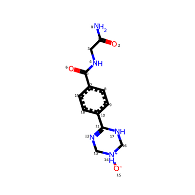 NC(=O)CNC(=O)c1ccc(C2=NC[NH+]([O-])CN2)cc1